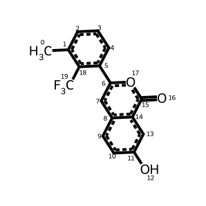 Cc1cccc(-c2cc3ccc(O)cc3c(=O)o2)c1C(F)(F)F